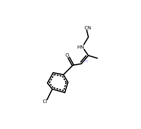 C/C(=C/C(=O)c1ccc(Cl)cc1)NCC#N